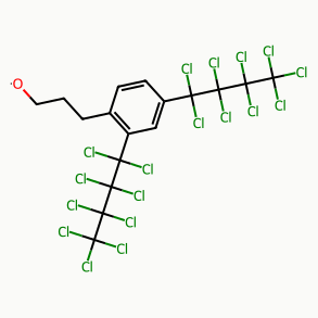 [O]CCCc1ccc(C(Cl)(Cl)C(Cl)(Cl)C(Cl)(Cl)C(Cl)(Cl)Cl)cc1C(Cl)(Cl)C(Cl)(Cl)C(Cl)(Cl)C(Cl)(Cl)Cl